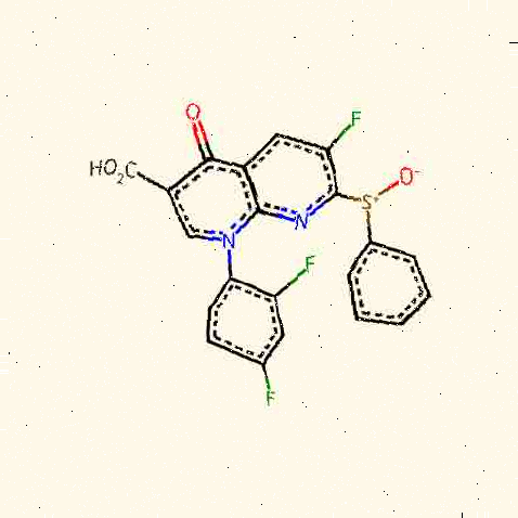 O=C(O)c1cn(-c2ccc(F)cc2F)c2nc([S+]([O-])c3ccccc3)c(F)cc2c1=O